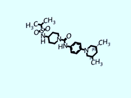 CC(C)S(=O)(=O)NC1CCN(C(=O)Nc2ccc(N3C[C@H](C)C[C@@H](C)C3)cc2)CC1